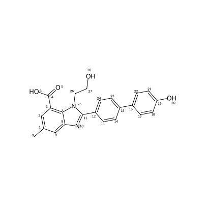 Cc1cc(C(=O)O)c2c(c1)nc(-c1ccc(-c3ccc(O)cc3)cc1)n2CCO